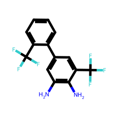 Nc1cc(-c2ccccc2C(F)(F)F)cc(C(F)(F)F)c1N